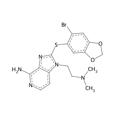 CN(C)CCn1c(Sc2cc3c(cc2Br)OCO3)nc2c(N)nccc21